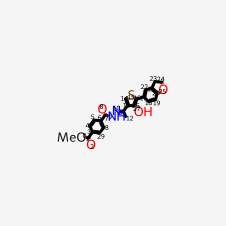 COC(=O)c1ccc(C(=O)N/N=C(\C)c2csc(-c3ccc4c(c3)CCO4)c2O)cc1